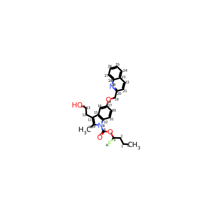 CCCC(F)OC(=O)n1c(C)c(CCO)c2cc(OCc3ccc4ccccc4n3)ccc21